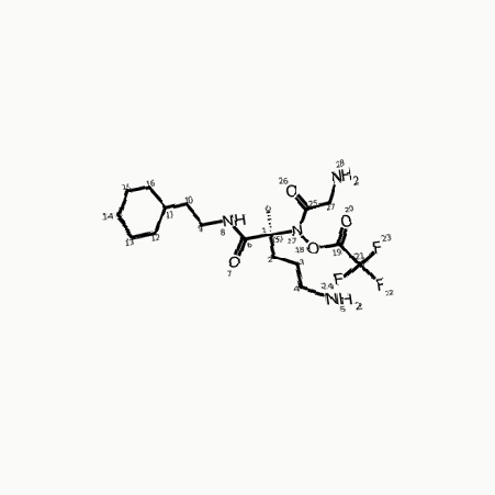 C[C@](CCCN)(C(=O)NCCC1CCCCC1)N(OC(=O)C(F)(F)F)C(=O)CN